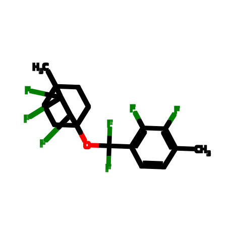 Cc1ccc(C(F)(F)OC23CCC(C)(CC2)C(F)(F)C3F)c(F)c1F